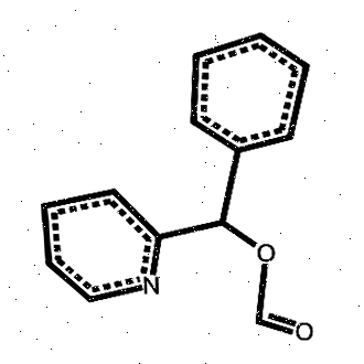 O=COC(c1ccccc1)c1ccccn1